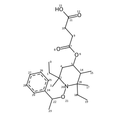 CCC1(C)CC(OC(=O)CCC(=O)O)C(C)C(C)(CC)N1OC(C)c1ccccc1